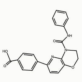 O=C(O)c1ccc(-c2ccc3c(n2)N(C(=O)Nc2ccccc2)CCO3)cc1